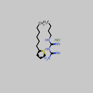 CCCCCCc1cccs1.CCCCNC(=N)NC(=N)N.Cl